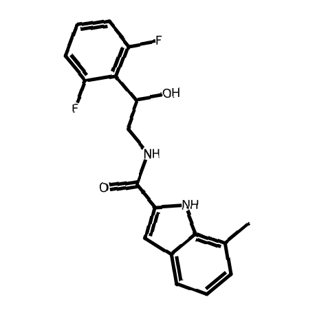 Cc1cccc2cc(C(=O)NCC(O)c3c(F)cccc3F)[nH]c12